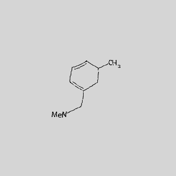 CNCC1=CC=CC(C)C1